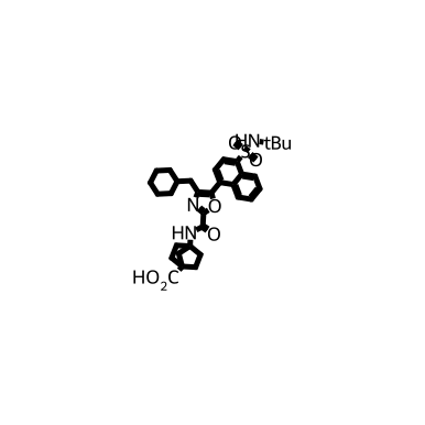 CC(C)(C)NS(=O)(=O)c1ccc(-c2oc(C(=O)NC34CCC(C(=O)O)(CC3)C4)nc2CC2CCCCC2)c2ccccc12